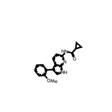 COc1ccccc1-c1c[nH]c2nc(NC(=O)C3CC3)ccc12